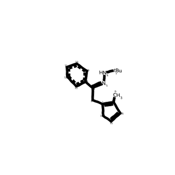 CC1=C(CC(=NNC(C)(C)C)c2ccccc2)CC=C1